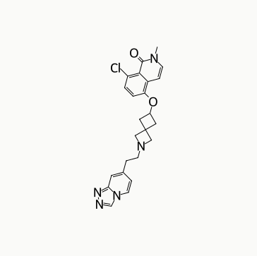 Cn1ccc2c(OC3CC4(C3)CN(CCc3ccn5cnnc5c3)C4)ccc(Cl)c2c1=O